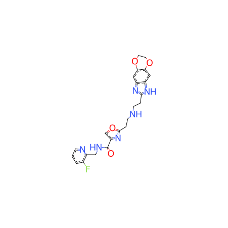 O=C(NCc1ncccc1F)c1coc(CCNCCc2nc3cc4c(cc3[nH]2)OCCO4)n1